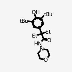 CCC(CC)(C(=O)NN1CCOCC1)c1cc(C(C)(C)C)c(O)c(C(C)(C)C)c1